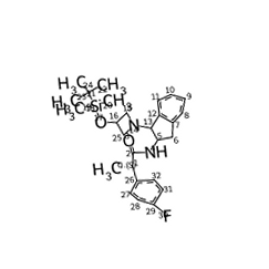 C[C@H](C(=O)NC1Cc2ccccc2C1N1CC(O[Si](C)(C)C(C)(C)C)C1)c1ccc(F)cc1